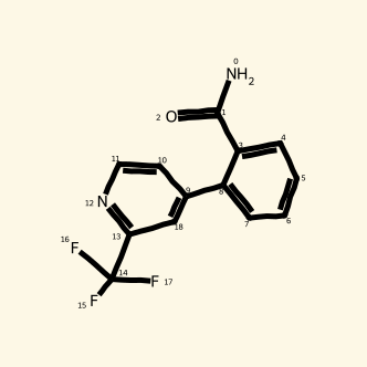 NC(=O)c1ccccc1-c1ccnc(C(F)(F)F)c1